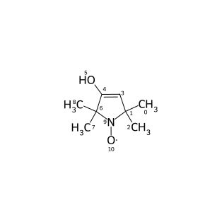 CC1(C)C=C(O)C(C)(C)N1[O]